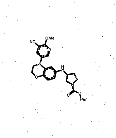 COc1ncc(N2CCOc3ccc(NC4CCN(C(=O)OC(C)(C)C)C4)cc32)cc1C#N